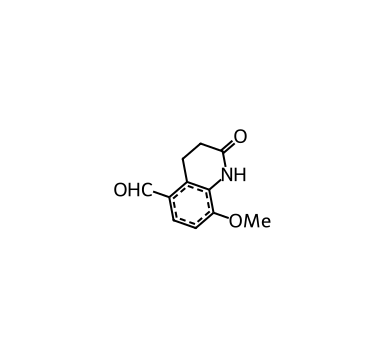 COc1ccc(C=O)c2c1NC(=O)CC2